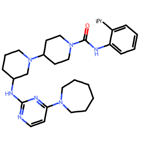 CC(C)c1ccccc1NC(=O)N1CCC(N2CCCC(Nc3nccc(N4CCCCCC4)n3)C2)CC1